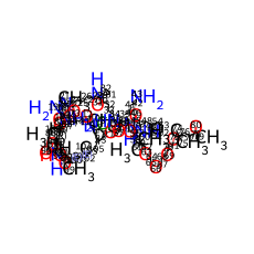 COc1cc2cc(c1Cl)N(C)C(=O)C[C@H](OC(=O)[C@H](N)N(C)C(=O)CCCCNC1(C(=O)CCCNC(=O)[C@H](CCCCN)NC(=O)C(Cc3ccccc3)NC(=O)CC(C)(C)COCCOCCOCCOC(C)(C)CCC(C)=O)CC1)[C@]1(N)O[C@H]1[C@H](C)[C@@H]1C[C@@](O)(NC(=O)O1)[C@H](OC)/C=C/C=C(\C)C2